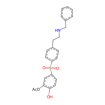 CC(=O)Oc1cc(S(=O)(=O)c2ccc(CCNCc3ccccc3)cc2)ccc1O